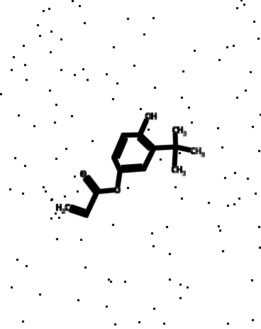 C=CC(=O)Oc1ccc(O)c(C(C)(C)C)c1